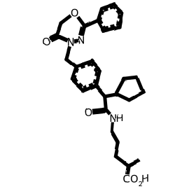 CC(CCCNC(=O)C(c1ccc(CN2N=C(c3ccccc3)OCC2=O)cc1)C1CCCC1)C(=O)O